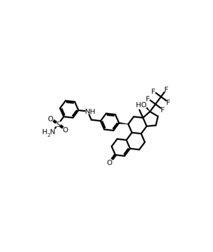 CC12C[C@H](c3ccc(CNc4cccc(S(N)(=O)=O)c4)cc3)C3C4CCC(=O)C=C4CCC3C1CC[C@@]2(O)C(F)(F)C(F)(F)F